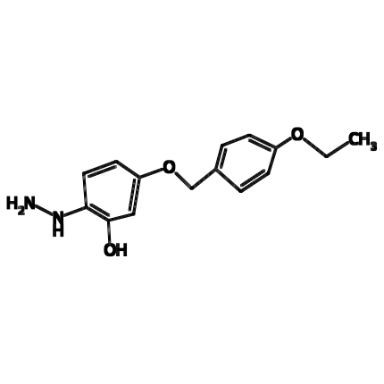 CCOc1ccc(COc2ccc(NN)c(O)c2)cc1